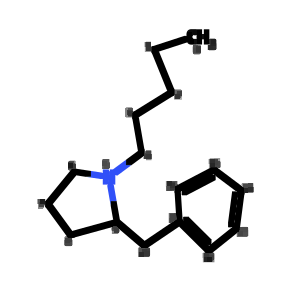 CCCCCN1CCCC1Cc1ccccc1